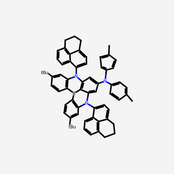 Cc1ccc(N(c2ccc(C)cc2)c2cc3c4c(c2)N(c2ccc5c6c(cccc26)CCC5)c2cc(C(C)(C)C)ccc2B4c2ccc(C(C)(C)C)cc2N3c2ccc3c4c(cccc24)CCC3)cc1